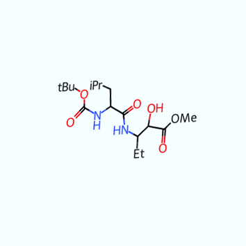 CCC(NC(=O)C(CC(C)C)NC(=O)OC(C)(C)C)C(O)C(=O)OC